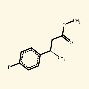 COC(=O)C[C@H](C)c1ccc(F)cc1